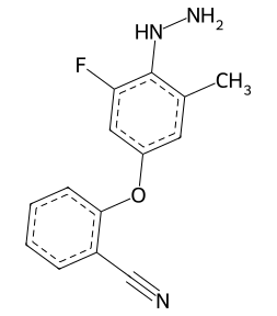 Cc1cc(Oc2ccccc2C#N)cc(F)c1NN